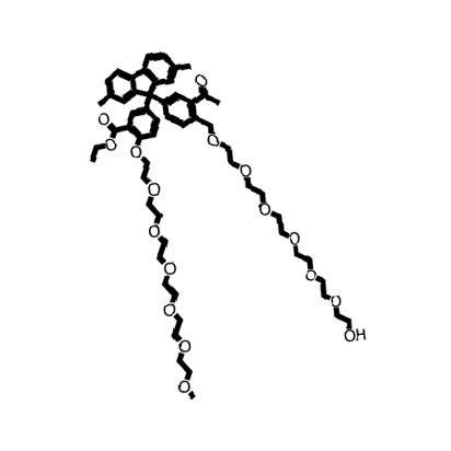 CCOC(=O)c1cc(C2(c3ccc(COCCOCCOCCOCCOCCOCCO)c(C(C)=O)c3)c3cc(C)ccc3-c3ccc(C)cc32)ccc1OCCOCCOCCOCCOCCOCCOC